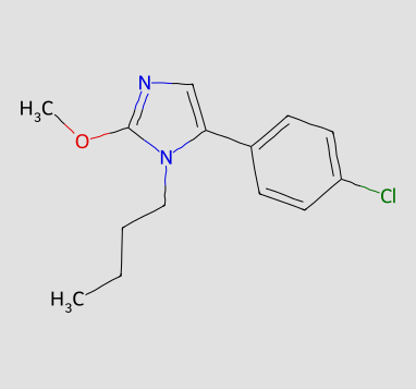 CCCCn1c(-c2ccc(Cl)cc2)cnc1OC